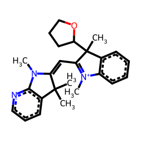 CN1C(=CC2=[N+](C)c3ccccc3C2(C)C2CCCO2)C(C)(C)c2cccnc21